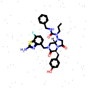 CCCN(C(=O)NCc1ccccc1)N1CC(=O)N2[C@@H](Cc3ccc(O)cc3)C(=O)N(Cc3ccc(F)c4sc(N)nc34)C[C@@H]21